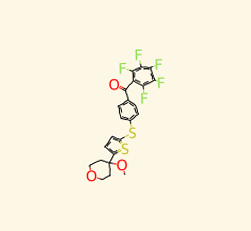 COC1(c2ccc(Sc3ccc(C(=O)c4c(F)c(F)c(F)c(F)c4F)cc3)s2)CCOCC1